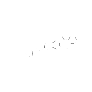 CC1OCC(COC(=O)Cc2ccc3c(c2)SCc2ccccc2C3=O)O1